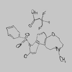 CN1CCOc2ccc3c(cc(Cl)n3S(=O)(=O)c3ccccc3)c2C1.O=C(O)C(F)(F)F